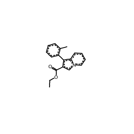 CCOC(=O)c1cn2ccccc2c1-c1ccccc1C